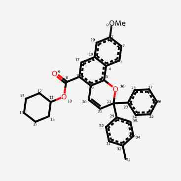 COc1ccc2c3c(c(C(=O)OC4CCCCC4)cc2c1)C=CC(c1ccccc1)(c1ccc(C)cc1)O3